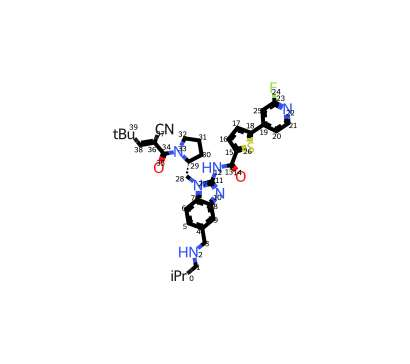 CC(C)CNCc1ccc2c(c1)nc(NC(=O)c1ccc(-c3ccnc(F)c3)s1)n2C[C@H]1CCCN1C(=O)/C(C#N)=C/C(C)(C)C